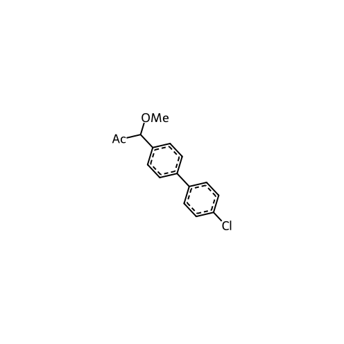 COC(C(C)=O)c1ccc(-c2ccc(Cl)cc2)cc1